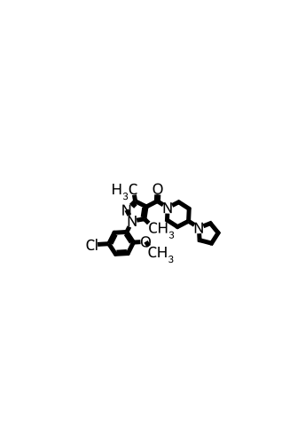 COc1ccc(Cl)cc1-n1nc(C)c(C(=O)N2CCC(N3CCCC3)CC2)c1C